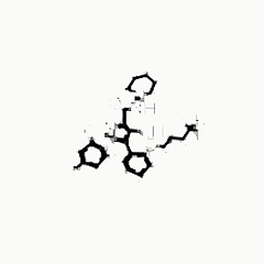 Cc1c(C(=O)NN2CCCCC2)nn(-c2ccc(Cl)cc2Cl)c1-c1ccccc1OCCCC(F)(F)F